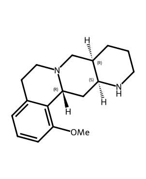 COc1cccc2c1[C@H]1C[C@@H]3NCCC[C@@H]3CN1CC2